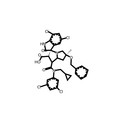 C[C@]1(OCc2ccccc2)CC2C(C(=O)N(CC3CC3)c3cc(Cl)cc(Cl)c3)C(C(=O)O)[C@@]3(C(=O)Nc4c(Cl)cc(Cl)cc43)N2C1